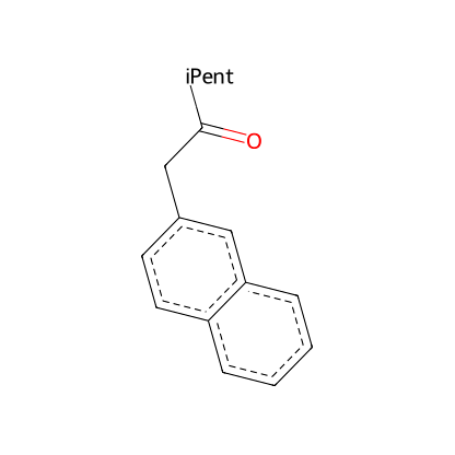 CCCC(C)C(=O)Cc1ccc2ccccc2c1